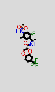 Cc1cc([C@@H](C)NC(=O)[C@H]2COc3ccc(C(F)(F)F)cc3O2)c(F)cc1NS(C)(=O)=O